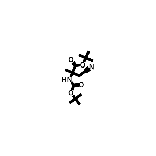 CC(C)(C)OC(=O)NC(C)(CC#N)C(=O)OC(C)(C)C